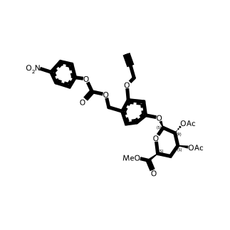 C#CCOc1cc(O[C@@H]2O[C@H](C(=O)OC)C[C@H](OC(C)=O)[C@H]2OC(C)=O)ccc1COC(=O)Oc1ccc([N+](=O)[O-])cc1